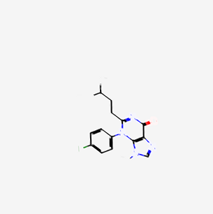 CCn1cnc2c(=O)nc(CCC(C)C(F)(F)F)n(-c3ccc(F)cc3)c21